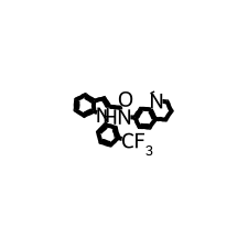 CN1CCCc2ccc(NC(=O)c3cc4ccccc4n3-c3cccc(C(F)(F)F)c3)cc21